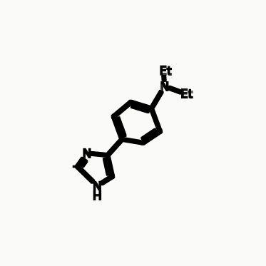 CCN(CC)c1ccc(-c2c[nH][c]n2)cc1